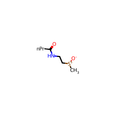 CCCC(=O)NCC[S+](C)[O-]